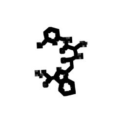 CC(C)C(NC(=O)Cn1nc(C(N)=O)c2ccccc21)C(=O)Nc1cccc(Br)n1